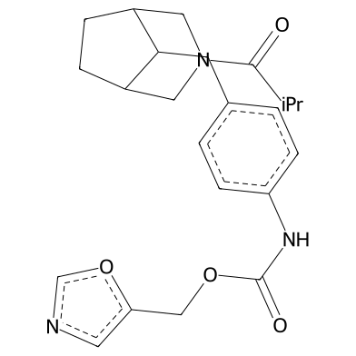 CC(C)C(=O)N1CC2CCC(C1)C2Cc1ccc(NC(=O)OCc2cnco2)cc1